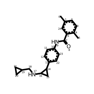 Cc1ccc(C)c(C(=O)Nc2ccc(C3CC3NCC3CC3)cc2)c1